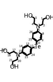 OCCN(CCO)c1ccc([Te]c2ccc(N(CCO)CCO)cc2)cc1